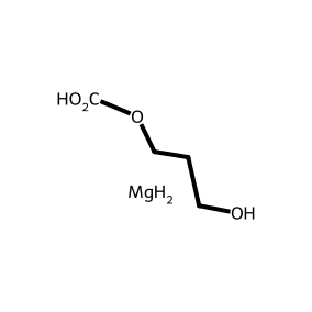 O=C(O)OCCCO.[MgH2]